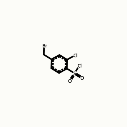 O=S(=O)(Cl)c1ccc(CBr)cc1Cl